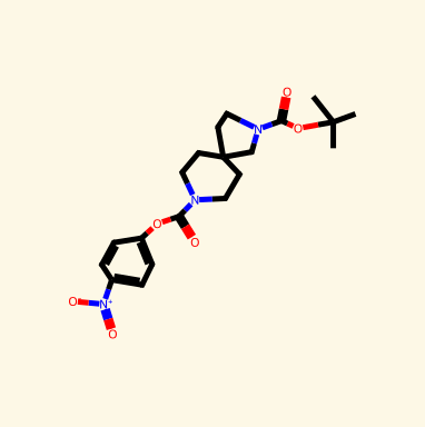 CC(C)(C)OC(=O)N1CCC2(CCN(C(=O)Oc3ccc([N+](=O)[O-])cc3)CC2)C1